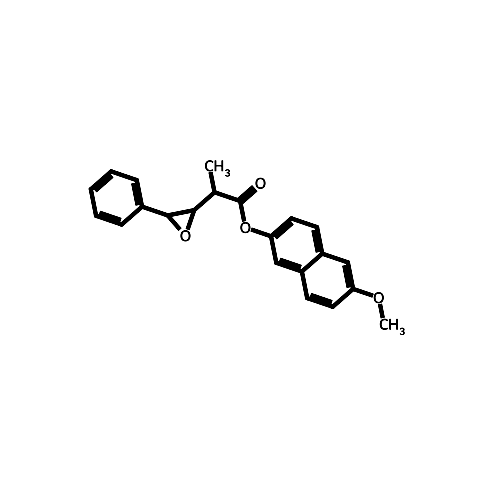 COc1ccc2cc(OC(=O)C(C)C3OC3c3ccccc3)ccc2c1